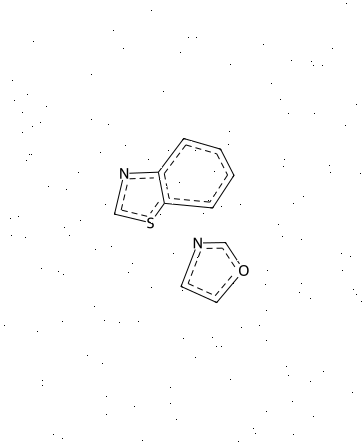 c1ccc2scnc2c1.c1cocn1